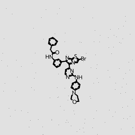 O=C(Cc1ccccc1)Nc1cccc(-c2nc3sc(Br)cn3c2-c2ccnc(Nc3ccc(N4CCOCC4)cc3)n2)c1